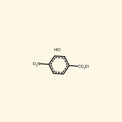 CCOC(=O)c1ccc([N+](=O)[O-])cc1.Cl